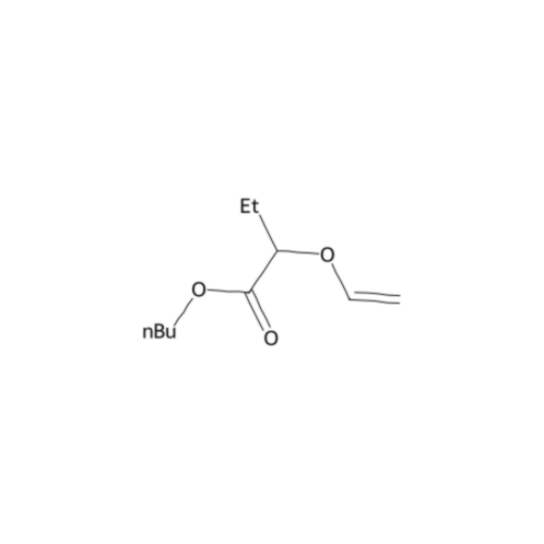 C=COC(CC)C(=O)OCCCC